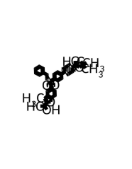 Cc1c(C(O)O)oc2ccc(S(=O)(=O)N(CCc3ccccc3)c3ccc(N4CCN(C(=O)OC(C)(C)C)CC4)cc3)cc12